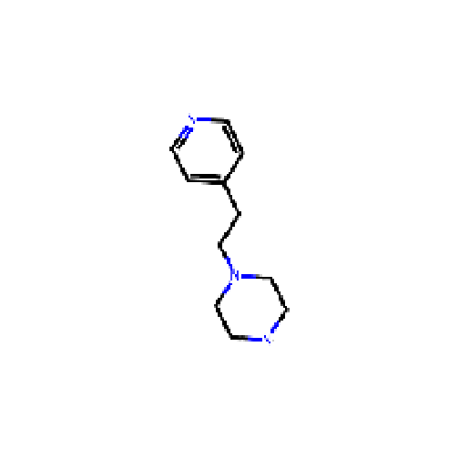 c1cc(CCN2CC[N]CC2)ccn1